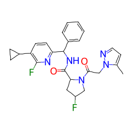 Cc1ccnn1CC(=O)N1CC(F)CC1C(=O)NC(c1ccccc1)c1ccc(C2CC2)c(F)n1